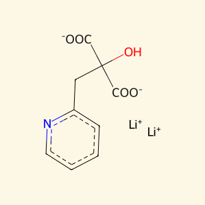 O=C([O-])C(O)(Cc1ccccn1)C(=O)[O-].[Li+].[Li+]